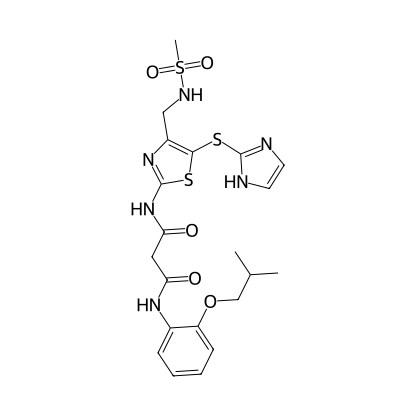 CC(C)COc1ccccc1NC(=O)CC(=O)Nc1nc(CNS(C)(=O)=O)c(Sc2ncc[nH]2)s1